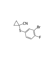 N#CC1(Sc2ccc(F)c(Br)c2)CC1